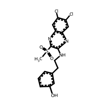 CS(=O)(=O)c1nc2cc(Cl)c(Cl)cc2nc1NCCc1cccc(O)c1